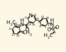 C=CS(=O)(=O)Nc1ccc(-c2cncc(C(=O)Nc3c(C)cccc3C)c2)cc1